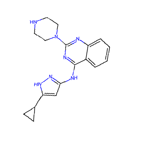 c1ccc2c(Nc3cc(C4CC4)[nH]n3)nc(N3CCNCC3)nc2c1